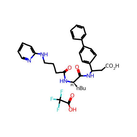 CCCC[C@@H](NC(=O)CCCNc1ccccn1)C(=O)NC(CC(=O)O)c1ccc(-c2ccccc2)cc1.O=C(O)C(F)(F)F